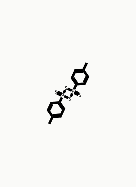 Cc1ccc(P2(=S)SP(=S)(c3ccc(C)cc3)S2)cc1